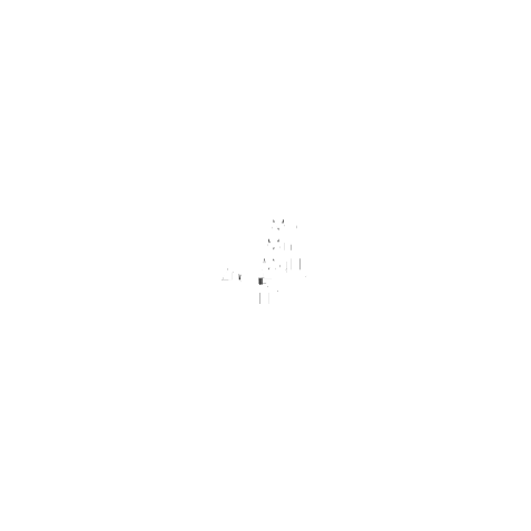 B.[CaH2].[MgH2].[Mn].[Mo].[Zn]